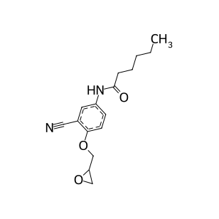 CCCCCC(=O)Nc1ccc(OCC2CO2)c(C#N)c1